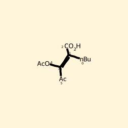 CCCCC(C(=O)O)=C(OC(C)=O)C(C)=O